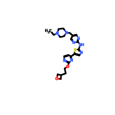 CCN1CCN(Cc2cnc(Nc3ncc(-c4ccnc(OCCC5COC5)n4)s3)nc2)CC1